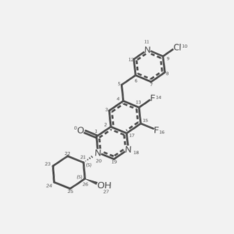 O=c1c2cc(Cc3ccc(Cl)nc3)c(F)c(F)c2ncn1[C@H]1CCCC[C@@H]1O